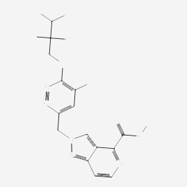 CCNC(=O)c1nccc2nn(Cc3cc(C)c(OCC(F)(F)C(F)F)nn3)cc12